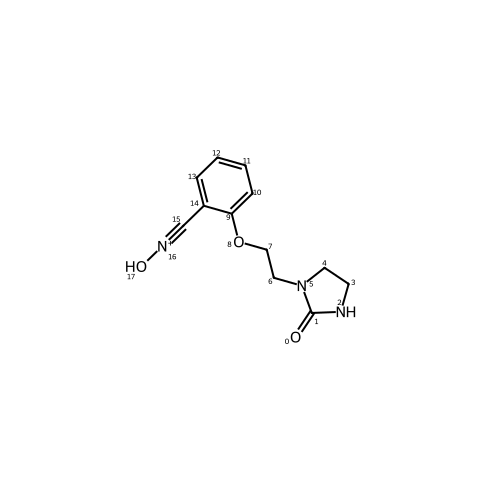 O=C1NCCN1CCOc1ccccc1C#[N+]O